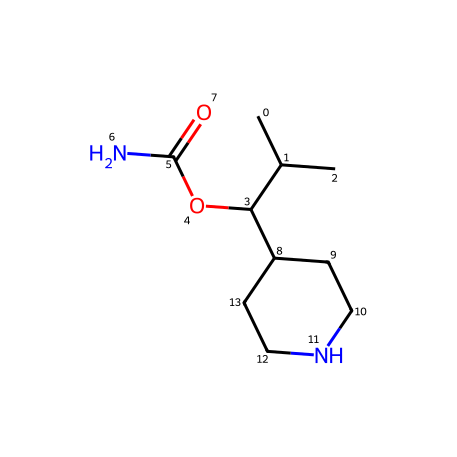 CC(C)C(OC(N)=O)C1CCNCC1